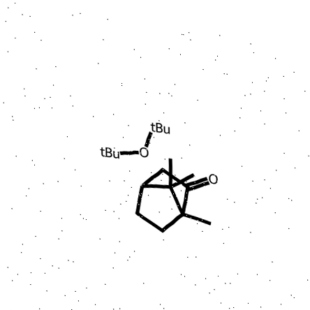 CC(C)(C)OC(C)(C)C.CC12CCC(CC1=O)C2(C)C